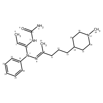 C/C=C(\NC(N)=O)N(/N=C(\C)CCCC1CCN(C)CC1)c1ccccc1